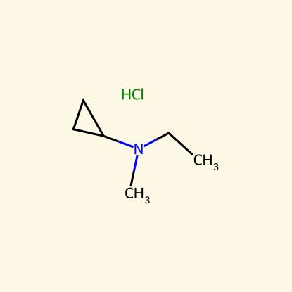 CCN(C)C1CC1.Cl